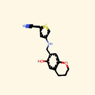 N#Cc1cc(NCc2cc3c(cc2O)CCCO3)cs1